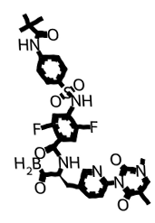 BC(=O)[C@H](Cc1ccc(-n2c(=O)c(C)cn(C)c2=O)nc1)NC(=O)c1cc(F)c(NS(=O)(=O)c2ccc(NC(=O)C(C)(C)C)cc2)cc1F